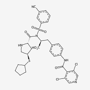 N#Cc1cccc(S(=O)(=O)N(C(=O)[C@@H]2C[C@@H](SC3CCCC3)CN2)[C@@H](Cc2ccc(NC(=O)c3c(Cl)cncc3Cl)cc2)C(=O)O)c1